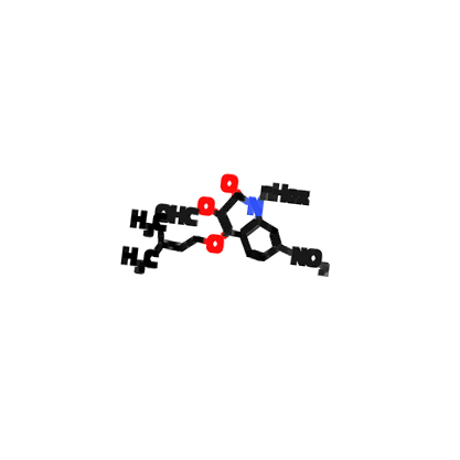 CCCCCCn1c(=O)c(OC=O)c(OCC=C(C)C)c2ccc([N+](=O)[O-])cc21